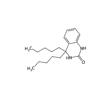 CCCCCC1(CCCCC)NC(=O)Nc2ccccc21